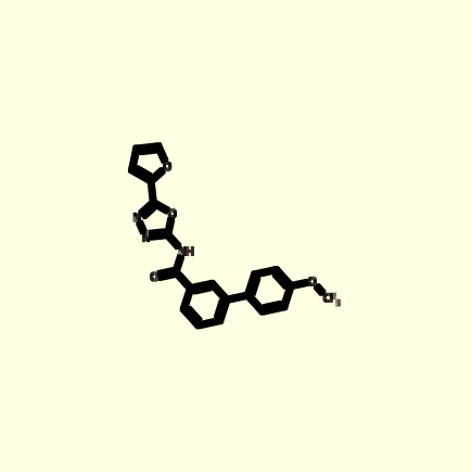 O=C(Nc1nnc(-c2ccco2)o1)c1cccc(-c2ccc(OC(F)(F)F)cc2)c1